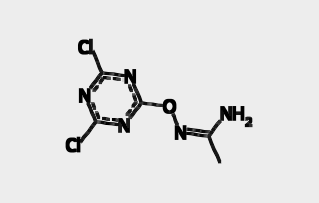 CC(N)=NOc1nc(Cl)nc(Cl)n1